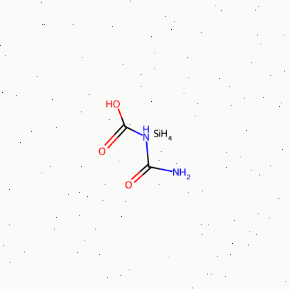 NC(=O)NC(=O)O.[SiH4]